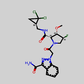 CO[C@H]1[C@@H](C(=O)NC[C@H]2CC2(Cl)Cl)N(C(=O)Cn2nc(C(N)=O)c3ccccc32)C[C@@H]1F